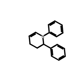 C1=CN(c2ccccc2)C(c2ccccc2)CC1